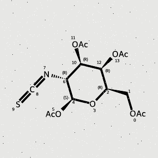 CC(=O)OC[C@H]1O[C@@H](OC(C)=O)[C@H](N=C=S)[C@@H](OC(C)=O)[C@H]1OC(C)=O